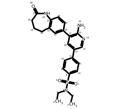 CCN(CC)S(=O)(=O)c1ccc(-c2cnc(N)c(-c3ccc4c(c3)CCCC(=O)N4)c2)cc1